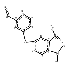 CN(C)c1ccc(Oc2ccnc(C=O)c2)cc1[N+](=O)[O-]